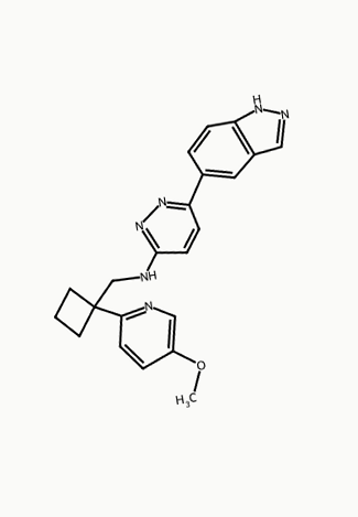 COc1ccc(C2(CNc3ccc(-c4ccc5[nH]ncc5c4)nn3)CCC2)nc1